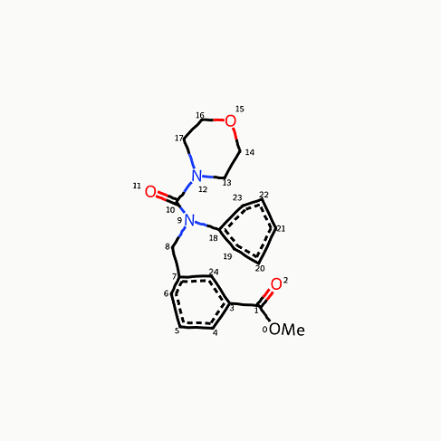 COC(=O)c1cccc(CN(C(=O)N2CCOCC2)c2ccccc2)c1